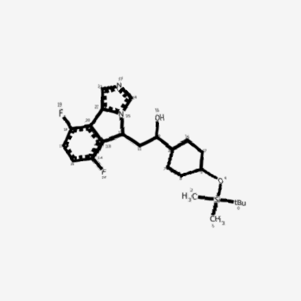 CC(C)(C)[Si](C)(C)OC1CCC(C(O)CC2c3c(F)ccc(F)c3-c3cncn32)CC1